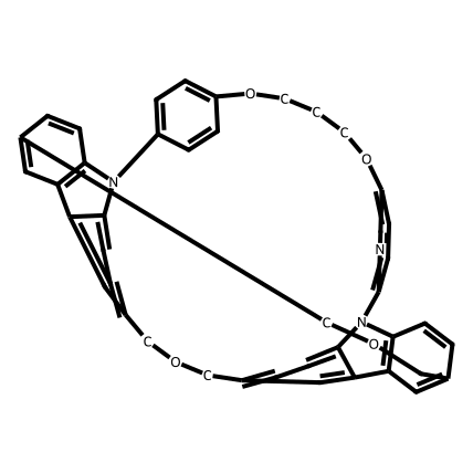 c1cc2c3cc1COCc1ccc4c(c1)c1cc5ccc1n4-c1ccc(cn1)OCCCOc1ccc(cc1)-n2c1ccc(cc31)COC5